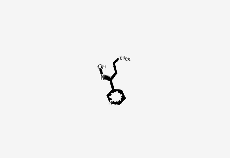 CCCCCCCCC(=NO)c1cccnc1